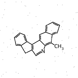 Cc1c2ccccc2cc2c3c(cnc12)Cc1ccccc1-3